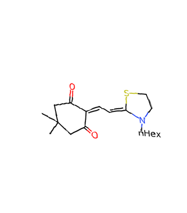 CCCCCCN1CCS/C1=C\C=C1C(=O)CC(C)(C)CC1=O